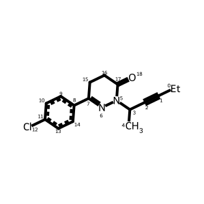 CCC#CC(C)N1N=C(c2ccc(Cl)cc2)CCC1=O